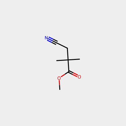 COC(=O)C(C)(C)CC#N